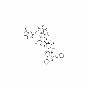 CC[C@H](C)[C@@H]([C@@H](CC(=O)N1CCC[C@H]1[C@H](OC)[C@@H](C)C(=O)NC(C(=O)OCc1ccccc1)[C@@H](C)c1ccccc1)OC)N(C)C(=O)[C@@H](NC(=O)[C@H](C(C)C)N(C)CCCC(=O)ON1C(=O)CCC1=O)C(C)C